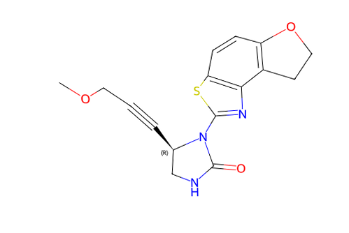 COCC#C[C@@H]1CNC(=O)N1c1nc2c3c(ccc2s1)OCC3